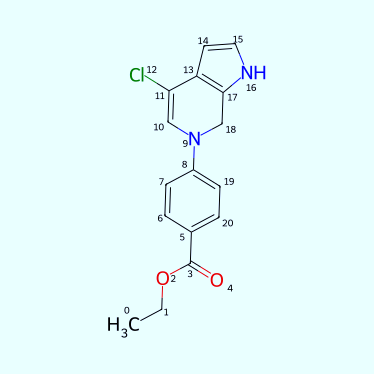 CCOC(=O)c1ccc(N2C=C(Cl)c3cc[nH]c3C2)cc1